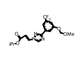 COCOc1cc(-c2ncn(C=CC(=O)OC(C)C)n2)cc(C(F)(F)F)c1